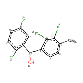 COc1ccc(C(O)c2cc(Br)ccc2Cl)c(F)c1F